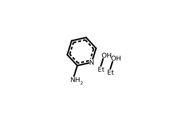 CCO.CCO.Nc1ccccn1